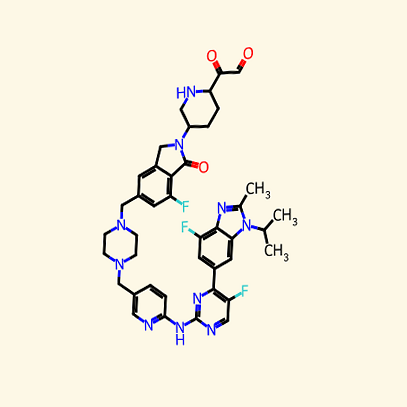 Cc1nc2c(F)cc(-c3nc(Nc4ccc(CN5CCN(Cc6cc(F)c7c(c6)CN(C6CCC(C(=O)C=O)NC6)C7=O)CC5)cn4)ncc3F)cc2n1C(C)C